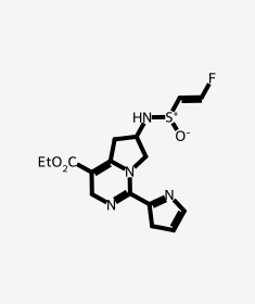 CCOC(=O)C1=C2CC(N[S+]([O-])/C=C/F)CN2C(C2=NC=CC2)=NC1